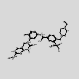 CCN1CCN(Cc2ccc(C(=O)Nc3ccc(C)c(N4Cc5cnc(NC)nc5N(C)C4=O)c3)cc2C(F)(F)F)CC1